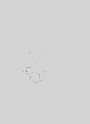 CCCCOC[C@H]1C[C@@H](n2cnc3ncnc(N)c32)C1F